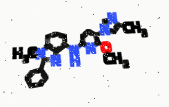 COc1nc(Nc2cccc3c2nc(-c2ccccc2)n3C)ccc1-n1cnc(C)c1